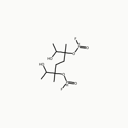 CC(O)C(C)(CCC(C)(O[PH](=O)F)C(C)O)O[PH](=O)F